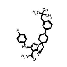 CC(C)(O)Cc1cccc(N2CCC(CC#N)(n3cc(C(N)=O)c(Nc4ccc(F)cc4)n3)CC2)n1